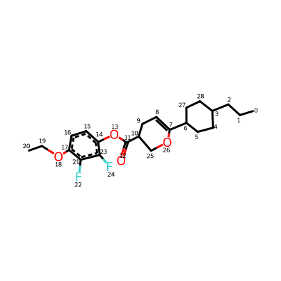 CCCC1CCC(C2=CCC(C(=O)Oc3ccc(OCC)c(F)c3F)CO2)CC1